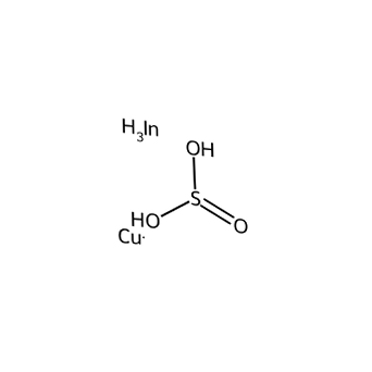 O=S(O)O.[Cu].[InH3]